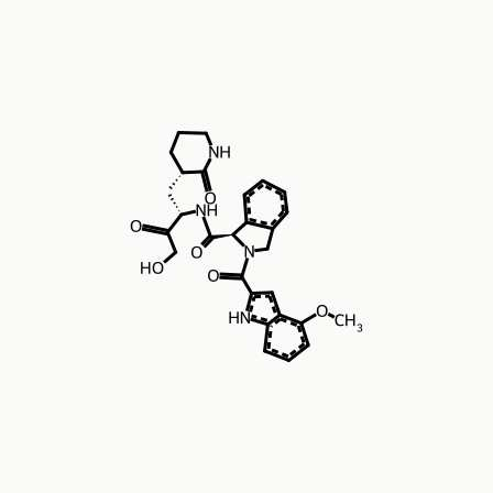 COc1cccc2[nH]c(C(=O)N3Cc4ccccc4[C@@H]3C(=O)N[C@@H](C[C@@H]3CCCNC3=O)C(=O)CO)cc12